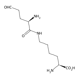 N[C@H](CCC=O)C(=O)NCCCC[C@H](N)C(=O)O